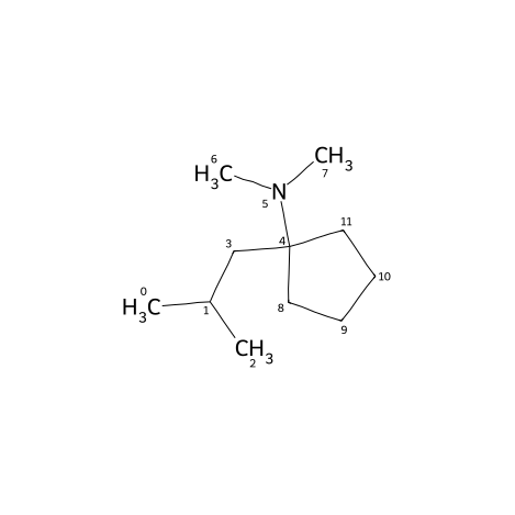 CC(C)CC1(N(C)C)CCCC1